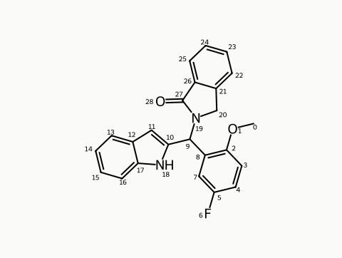 COc1ccc(F)cc1C(c1cc2ccccc2[nH]1)N1Cc2ccccc2C1=O